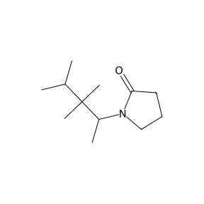 CC(C)C(C)(C)C(C)N1CCCC1=O